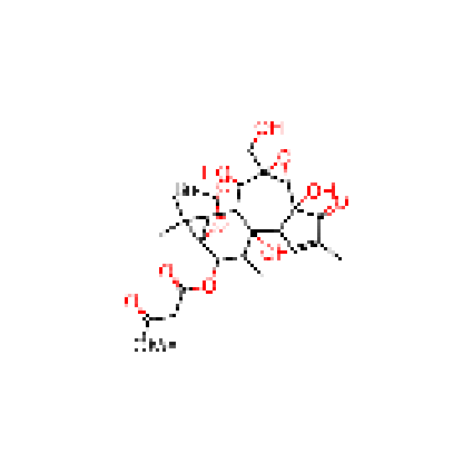 CCC(C)C(=O)OC12C(OC(=O)CC(=O)OC)C(C)C3(O)C(C(O)C4(CO)OC4C4(O)C(=O)C(C)=CC43)C1C2(C)C